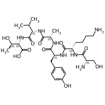 CC(C)[C@H](NC(=O)[C@H](C)NC(=O)[C@H](Cc1ccc(O)cc1)NC(=O)[C@H](CCCCN)NC(=O)[C@@H](N)CO)C(=O)N[C@H](C(=O)O)[C@@H](C)O